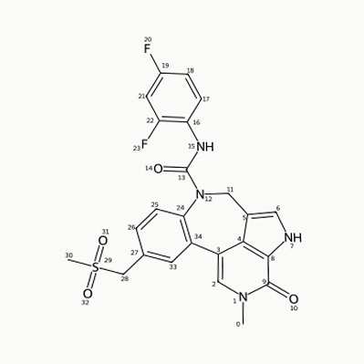 Cn1cc2c3c(c[nH]c3c1=O)CN(C(=O)Nc1ccc(F)cc1F)c1ccc(CS(C)(=O)=O)cc1-2